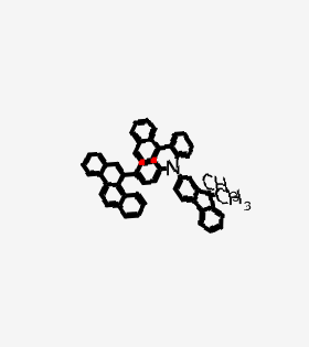 CC1(C)c2ccccc2-c2ccc(N(c3ccc(-c4cc5ccccc5c5ccc6ccccc6c45)cc3)c3ccccc3-c3cccc4ccccc34)cc21